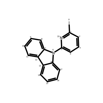 Ic1cccc(-n2c3ccccc3c3ccccc32)n1